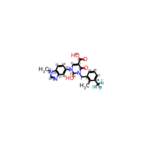 Cc1c(CN2C(=O)C(C(=O)O)=CN(c3ccc4c(c3)ncn4C)C2O)cccc1C(F)(F)F